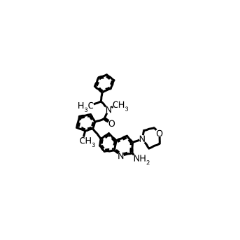 Cc1cccc(C(=O)N(C)C(C)c2ccccc2)c1-c1ccc2nc(N)c(N3CCOCC3)cc2c1